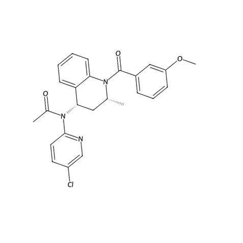 COc1cccc(C(=O)N2c3ccccc3[C@@H](N(C(C)=O)c3ccc(Cl)cn3)C[C@H]2C)c1